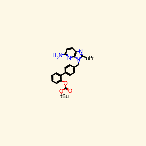 CCCc1nc2ccc(N)nc2n1Cc1ccc(-c2ccccc2OC(=O)OC(C)(C)C)cc1